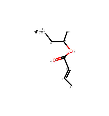 C/C=C/C(=O)OC(C)CCCCCC